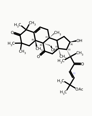 CC(=O)OC(C)(C)/C=C/C(=O)C(C)(C)[C@H]1[C@H](O)CC2[C@]1(C)CC(=O)[C@]1(CO)[C@@]2(C)CC=C2C(C)(C)C(=O)C(C)(C)C[C@]21C